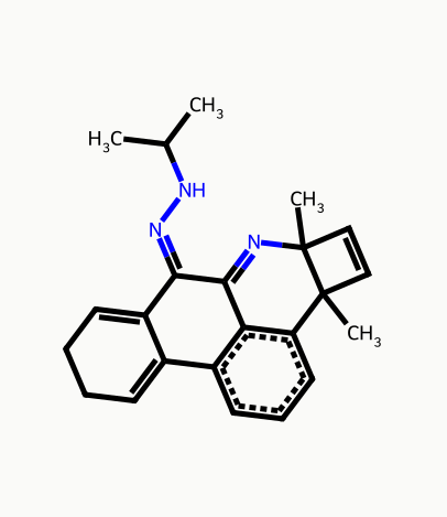 CC(C)N/N=C1/C2=CCCC=C2c2cccc3c2C1=NC1(C)C=CC31C